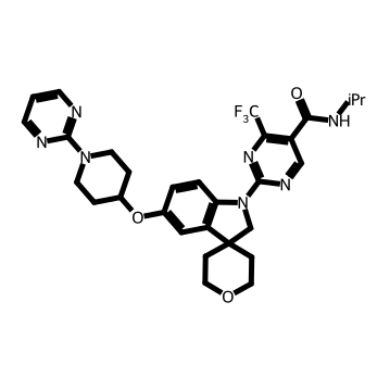 CC(C)NC(=O)c1cnc(N2CC3(CCOCC3)c3cc(OC4CCN(c5ncccn5)CC4)ccc32)nc1C(F)(F)F